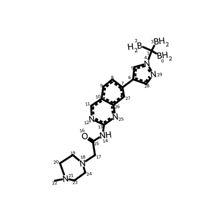 BC(B)(B)n1cc(-c2ccc3cnc(NC(=O)CN4CCN(C)CC4)nc3c2)cn1